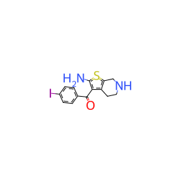 Nc1sc2c(c1C(=O)c1ccc(I)cc1)CCNC2